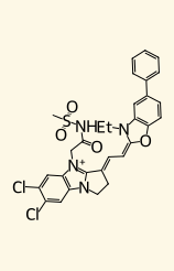 CCN1C(=CC=C2CCn3c2[n+](CC(=O)NS(C)(=O)=O)c2cc(Cl)c(Cl)cc23)Oc2ccc(-c3ccccc3)cc21